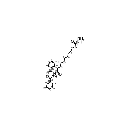 NNC(=O)CCCCCCCCCCC(=O)N(NC(=O)c1ccccc1)C(=O)c1ccccc1